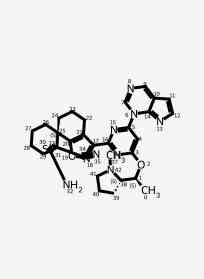 C[C@H](Oc1cc(-n2cncc3ccnc2-3)nc(-c2noc3c2CCC[C@@]32CCCc3sc(N)c(C#N)c32)n1)[C@@H]1CCCN1C